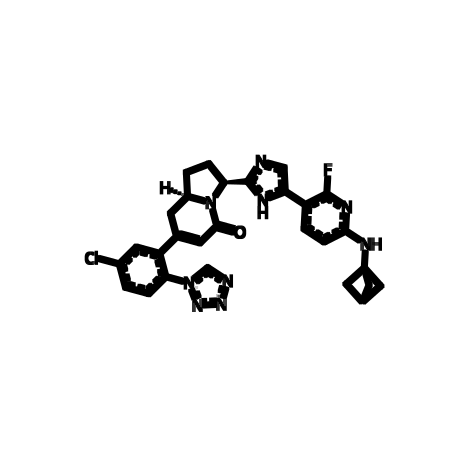 O=C1C=C(c2cc(Cl)ccc2-n2cnnn2)C[C@H]2CC[C@@H](c3ncc(-c4ccc(NC56CC(C5)C6)nc4F)[nH]3)N12